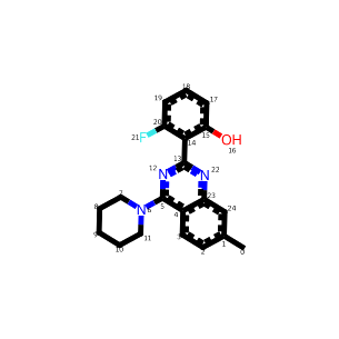 Cc1ccc2c(N3CCCCC3)nc(-c3c(O)cccc3F)nc2c1